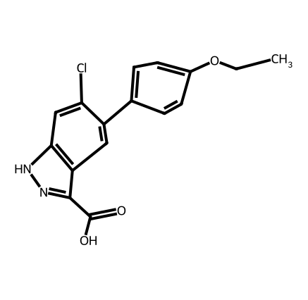 CCOc1ccc(-c2cc3c(C(=O)O)n[nH]c3cc2Cl)cc1